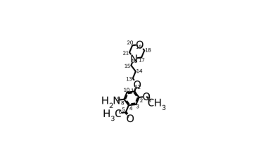 COc1cc(C(C)=O)c(N)cc1OCCCN1CCOCC1